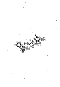 CNc1nc(C)nc2c1ncn2[C@@H]1O[C@H](CCOP(N)(=O)Oc2ccccc2)[C@@H](O)[C@@]1(C)F